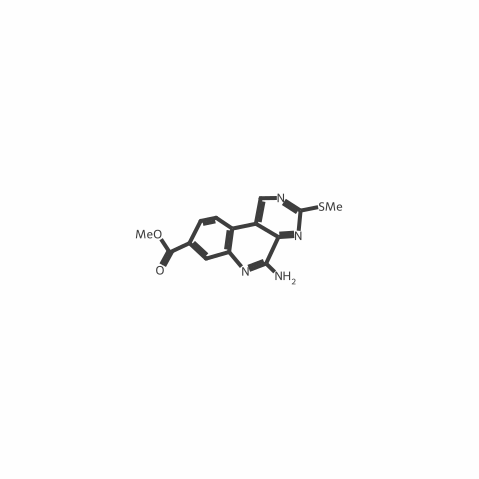 COC(=O)c1ccc2c(c1)nc(N)c1nc(SC)ncc12